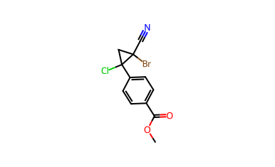 COC(=O)c1ccc(C2(Cl)CC2(Br)C#N)cc1